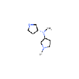 CN1CC[C@H](N(C)[C@@H]2CCNC2)C1